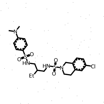 CCC(CNS(=O)(=O)c1ccc(N(C)C)cc1)CNS(=O)(=O)N1CCc2cc(Cl)ccc2C1